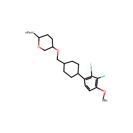 CCCCCC1CCC(OCC2CCC(c3ccc(OCCCC)c(F)c3F)CC2)CO1